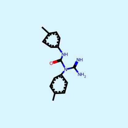 Cc1ccc(NC(=O)N(C(=N)N)c2ccc(C)cc2)cc1